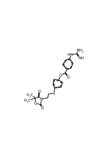 CC1(C)OC(=O)N(CCSc2ccc(OC(=O)c3ccc(NC(=N)N)cc3)cc2)C1=O